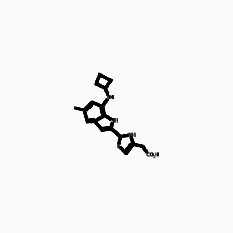 Cc1cc(NC2CCC2)c2[nH]c(C3NC(CC(=O)O)=CS3)cc2c1